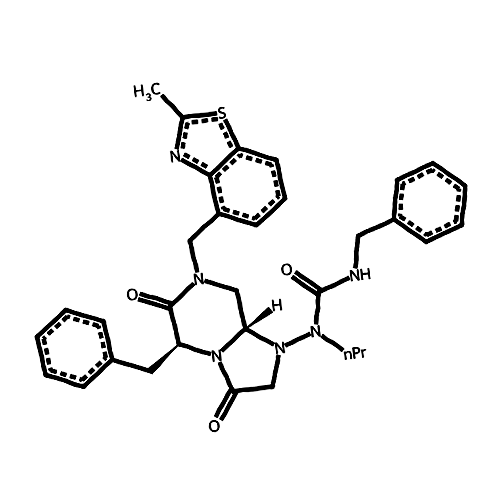 CCCN(C(=O)NCc1ccccc1)N1CC(=O)N2[C@@H](Cc3ccccc3)C(=O)N(Cc3cccc4sc(C)nc34)C[C@@H]21